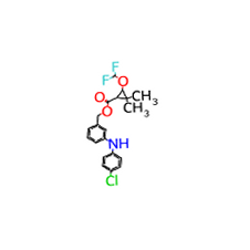 CC1(C)C(OC(F)F)C1C(=O)OCc1cccc(Nc2ccc(Cl)cc2)c1